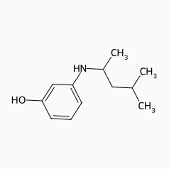 CC(C)CC(C)Nc1cccc(O)c1